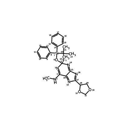 CNC1=NC(F)(O[Si](c2ccccc2)(c2ccccc2)C(C)(C)C)N=C2N=C(C3COCO3)N=C21